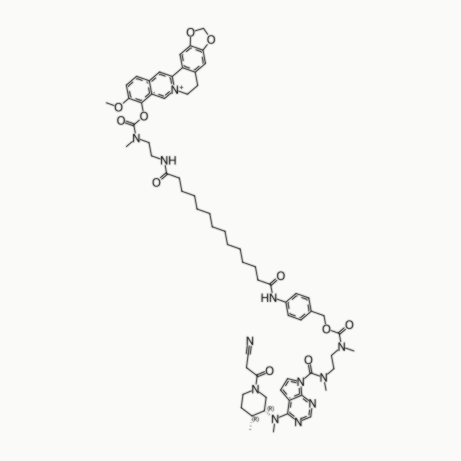 COc1ccc2cc3[n+](cc2c1OC(=O)N(C)CCNC(=O)CCCCCCCCCCCCC(=O)Nc1ccc(COC(=O)N(C)CCN(C)C(=O)n2ccc4c(N(C)[C@H]5CN(C(=O)CC#N)CC[C@H]5C)ncnc42)cc1)CCc1cc2c(cc1-3)OCO2